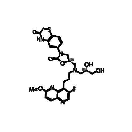 COc1ccc2ncc(F)c(CCCN(C[C@H](O)CO)C[C@@H]3CN(c4ccc5c(c4)NC(=O)CS5)C(=O)O3)c2n1